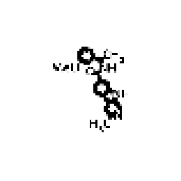 COc1cccc([C@@H](C)NC(=O)c2ccc3c(c2)[nH]c2cnc(C)cc23)c1